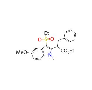 CCOC(=O)C(Cc1ccccc1)c1c(S(=O)(=O)CC)c2cc(OC)ccc2n1C